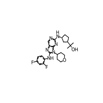 CC(C)(O)C1CC[C@H](Nc2ncc3nc(Nc4ccc(F)cc4F)n(C4CCOCC4)c3n2)C1